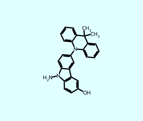 CC1(C)c2ccccc2N(c2ccc3c(c2)c2cc(O)ccc2n3N)c2ccccc21